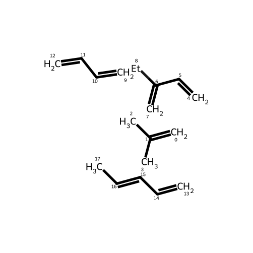 C=C(C)C.C=CC(=C)CC.C=CC=C.C=CC=CC